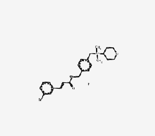 C[N+](C)(Cc1ccc(CNC(=O)C=Cc2cccc(Br)c2)cc1)C1CCOCC1.[I-]